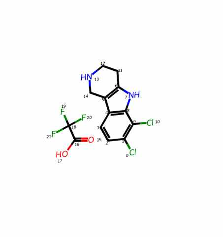 Clc1ccc2c3c([nH]c2c1Cl)CCNC3.O=C(O)C(F)(F)F